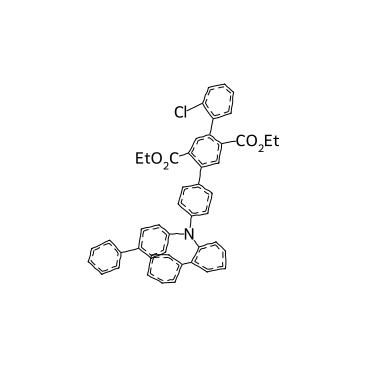 CCOC(=O)c1cc(-c2ccccc2Cl)c(C(=O)OCC)cc1-c1ccc(N(c2ccc(-c3ccccc3)cc2)c2ccccc2-c2ccccc2)cc1